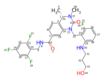 C[C@H]1c2ccc(C(=O)NCc3c(F)cc(F)cc3F)cc2N(Cc2c(F)cccc2NCCCO)C(=O)N1C